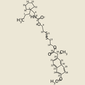 CCCC1(CNC(=O)OCCSSCCOC(=O)[C@H](C)c2ccc3cc(OC)ccc3c2)CCCCC1